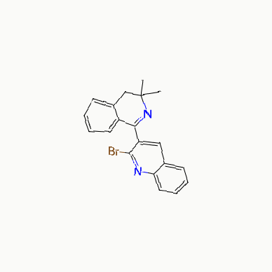 CC1(C)Cc2ccccc2C(c2cc3ccccc3nc2Br)=N1